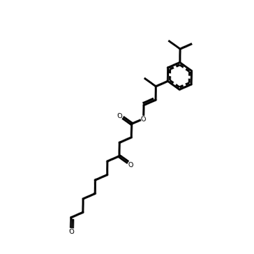 CC(C)c1cccc(C(C)C=COC(=O)CCC(=O)CCCCCCC=O)c1